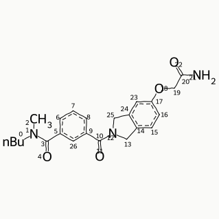 CCCCN(C)C(=O)c1cccc(C(=O)N2Cc3ccc(OCC(N)=O)cc3C2)c1